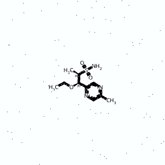 CCO[C@H](c1cnc(C)cn1)[C@@H](C)S(N)(=O)=O